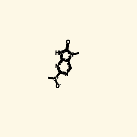 Cn1c(=O)[nH]c2nc([S+](C)[O-])ncc21